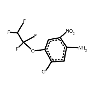 Nc1cc(Cl)c(OC(F)(F)C(F)F)cc1[N+](=O)[O-]